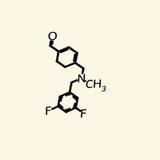 CN(CC1=CC=C(C=O)CC1)Cc1cc(F)cc(F)c1